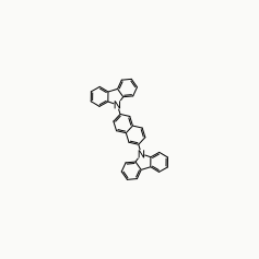 c1ccc2c(c1)c1ccccc1n2-c1ccc2cc(-n3c4ccccc4c4ccccc43)ccc2c1